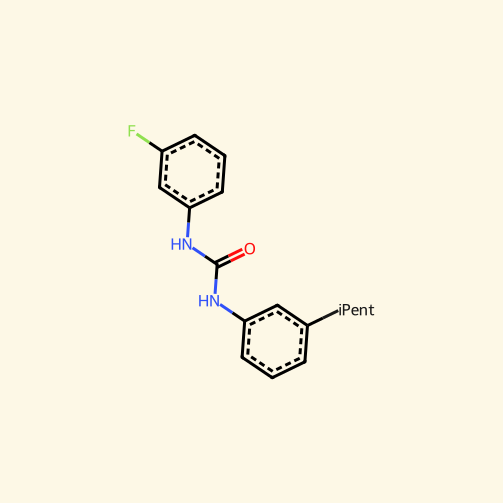 CCCC(C)c1cccc(NC(=O)Nc2cccc(F)c2)c1